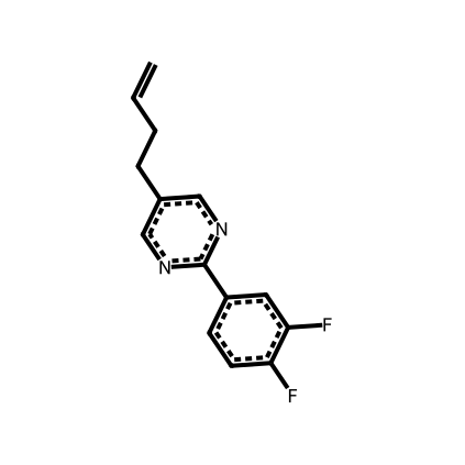 C=CCCc1cnc(-c2ccc(F)c(F)c2)nc1